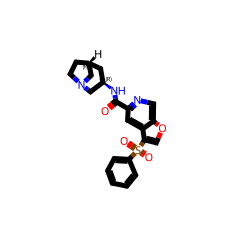 O=C(N[C@@H]1C[C@H]2CCN(C2)C1)c1cc2c(S(=O)(=O)c3ccccc3)coc2cn1